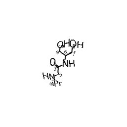 CC(C)NCC(=O)NC(CO)CO